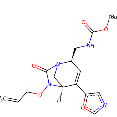 C=CCON1C(=O)N2C[C@H]1C(c1cnco1)=C[C@@H]2CNC(=O)OC(C)(C)C